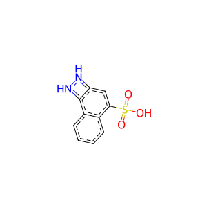 O=S(=O)(O)c1cc2[nH][nH]c2c2ccccc12